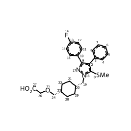 CSc1c(-c2ccccc2)c(-c2ccc(F)cc2)nn1C[C@H]1CC[C@@H](COCC(=O)O)CC1